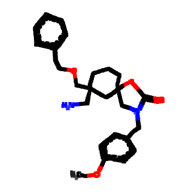 COc1ccc(CN2CC3(CCC[C@@](CN)(COCc4ccccc4)C3)OC2=O)cc1